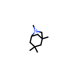 CN1CC2(C)CC1CC(C)(C)C2